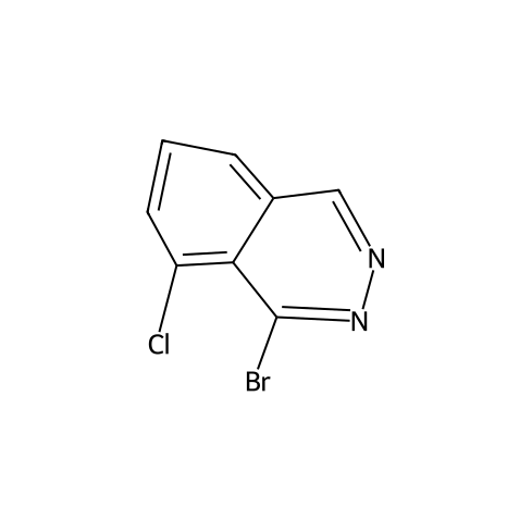 Clc1cccc2cnnc(Br)c12